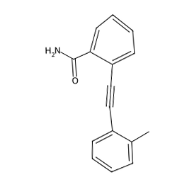 Cc1ccccc1C#Cc1ccccc1C(N)=O